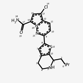 CC(C)CC1NCCc2cc(-c3ccc4c(Cl)cc(C(N)=O)n4n3)sc21